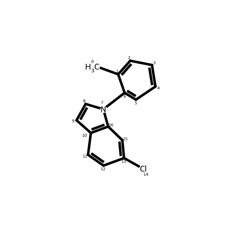 Cc1ccccc1-n1ccc2ccc(Cl)cc21